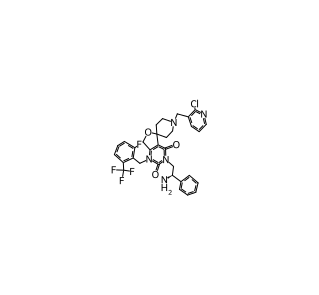 N[C@@H](Cn1c(=O)c2c(n(Cc3c(F)cccc3C(F)(F)F)c1=O)COC21CCN(Cc2cccnc2Cl)CC1)c1ccccc1